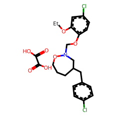 CCOc1cc(Cl)ccc1OCN1CC(Cc2ccc(Cl)cc2)CCCO1.O=C(O)C(=O)O